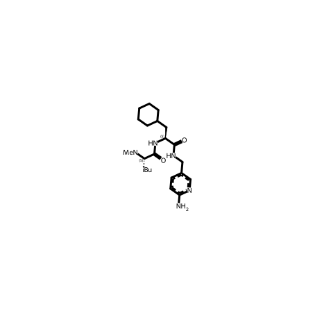 CCC(C)[C@H](NC)C(=O)N[C@@H](CC1CCCCC1)C(=O)NCc1ccc(N)nc1